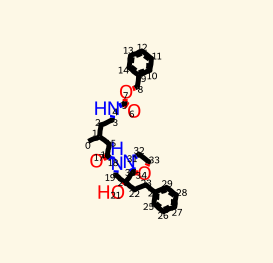 CC(CCNC(=O)OCc1ccccc1)CC(=O)NCC(O)(CCc1ccccc1)C1=NCCO1